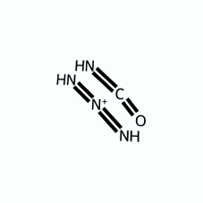 N=C=O.N=[N+]=N